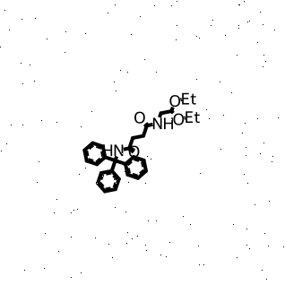 CCOC(CNC(=O)CCC(=O)NC(c1ccccc1)(c1ccccc1)c1ccccc1)OCC